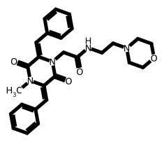 Cn1c(=O)c(=Cc2ccccc2)n(CC(=O)NCCN2CCOCC2)c(=O)c1=Cc1ccccc1